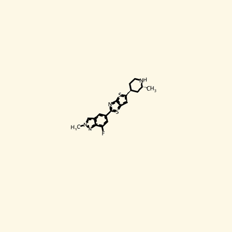 C[C@@H]1C[C@@H](c2cc3sc(-c4cc(F)c5nn(C)cc5c4)nc3s2)CCN1